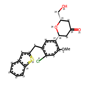 COc1cc(Cl)c(Cc2cc3ccccc3s2)cc1[C@H]1CC(=O)C[C@@H](CO)O1